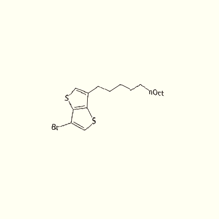 CCCCCCCCCCCCCc1csc2c(Br)csc12